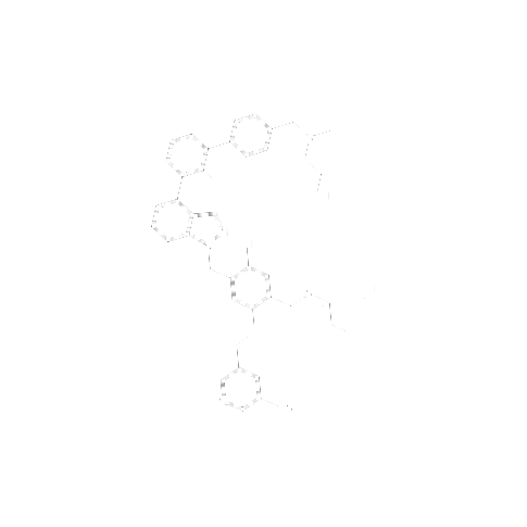 CN(CCO)Cc1ccc(-c2cccc(-c3cccc4c3cnn4Cc3cc(OCc4cncc(C#N)c4)c(CN[C@@H](CO)C(=O)O)cc3Cl)c2Cl)cc1